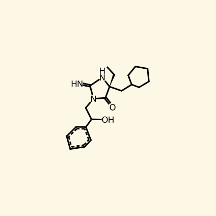 CC[C@]1(CC2CCCCC2)NC(=N)N(CC(O)c2ccccc2)C1=O